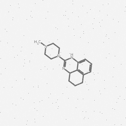 CN1CCN(C2=NC3CCCc4cccc(c43)N2)CC1